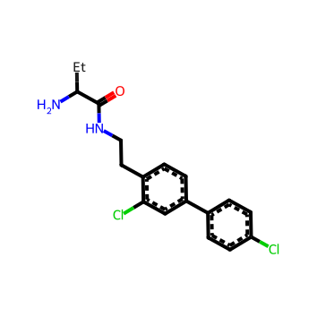 CCC(N)C(=O)NCCc1ccc(-c2ccc(Cl)cc2)cc1Cl